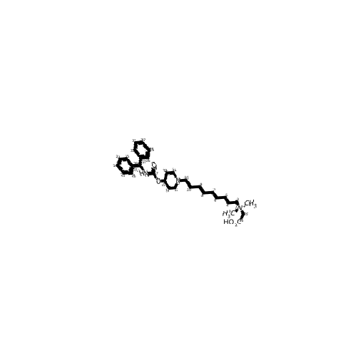 C[N+](C)(CCCCCCCCCN1CCC(OC(=O)NC(c2ccccc2)c2ccccc2)CC1)CC(=O)O